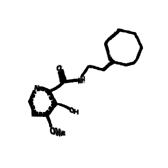 COc1ccnc(C(=O)NCCC2CCCCC2)c1O